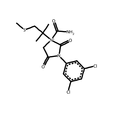 CSCC(C)(C)[N+]1(C(N)=O)CC(=O)N(c2cc(Cl)cc(Cl)c2)C1=O